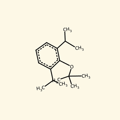 CC(C)c1cccc(C(C)C)c1OC(C)(C)C